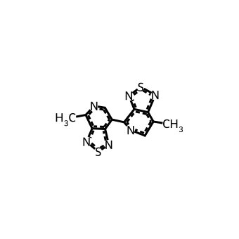 Cc1cnc(-c2cnc(C)c3nsnc23)c2nsnc12